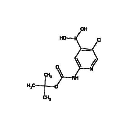 CC(C)(C)OC(=O)Nc1cc(B(O)O)c(Cl)cn1